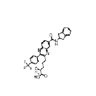 CC(CCCc1nc2cc(C(=O)NC3Cc4ccccc4C3)ccc2nc1-c1ccc(C(F)(F)F)cc1)C(=O)O